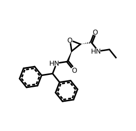 CCNC(=O)[C@H]1O[C@@H]1C(=O)NC(c1ccccc1)c1ccccc1